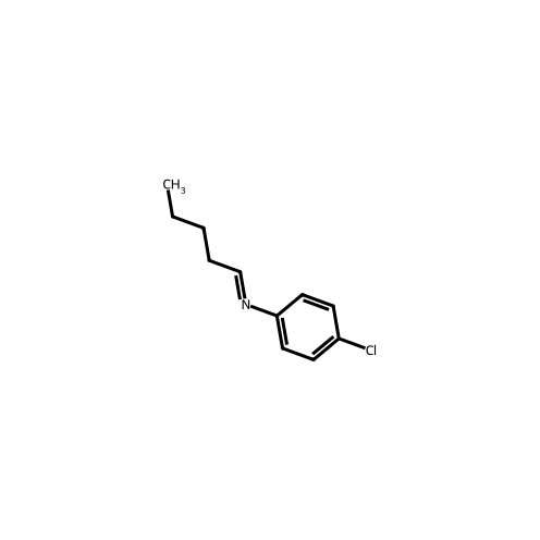 CCCCC=Nc1ccc(Cl)cc1